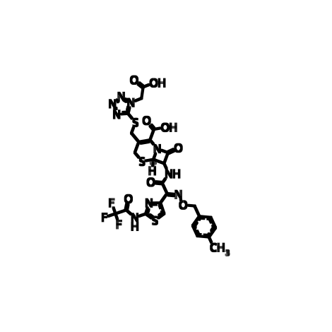 Cc1ccc(CON=C(C(=O)NC2C(=O)N3C(C(=O)O)=C(CSc4nnnn4CC(=O)O)CS[C@@H]23)c2csc(NC(=O)C(F)(F)F)n2)cc1